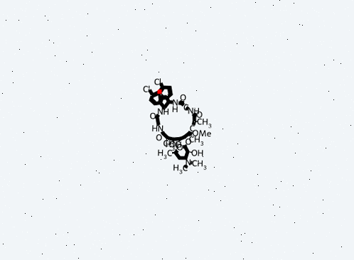 CO[C@]1(C)C[C@@H](C)C(=O)NCC(=O)NC(c2ccc(Cl)cc2)C(c2ccc(Cl)cc2)NC(=O)CNC(=O)[C@H](C)[C@@H](O)[C@H](C)[C@H]1O[C@@H]1O[C@H](C)C[C@H](N(C)C)[C@H]1O